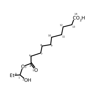 CCC(O)OC(=O)CCCCCCCCC(=O)O